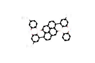 Cc1ccc2c(c1)Oc1cc(C)cc3c1B2c1cc2ccc4c5c(cc6ccc-3c1c6c25)B1c2ccccc2Oc2cc(C)cc-4c21